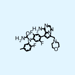 Cc1ccc(F)c(N(C(N)=O)c2cc(F)c(-c3cc(CN4CCOCC4)n4ncnc(N)c34)cc2F)c1